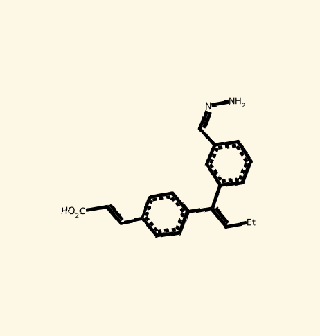 CC/C=C(/c1ccc(/C=C/C(=O)O)cc1)c1cccc(/C=N\N)c1